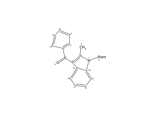 CCCC(C)n1c(C)c(C(=O)c2ccccc2)c2ccccc21